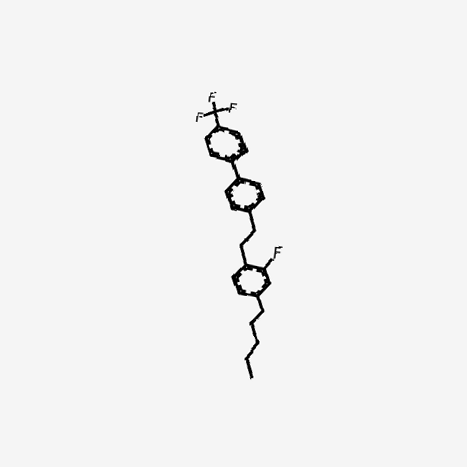 CCCCCc1ccc(CCc2ccc(-c3ccc(C(F)(F)F)cc3)cc2)c(F)c1